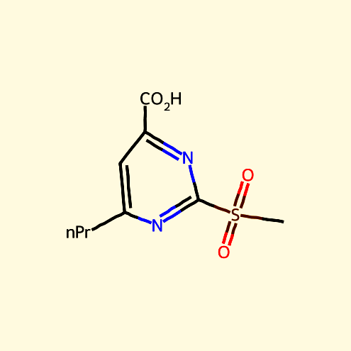 CCCc1cc(C(=O)O)nc(S(C)(=O)=O)n1